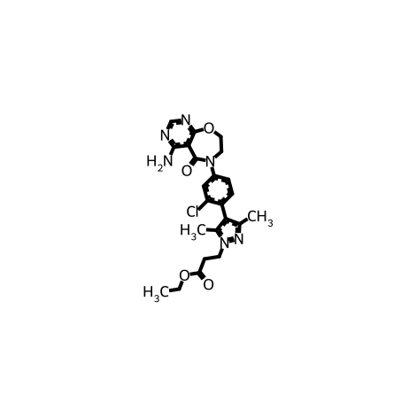 CCOC(=O)CCn1nc(C)c(-c2ccc(N3CCOc4ncnc(N)c4C3=O)cc2Cl)c1C